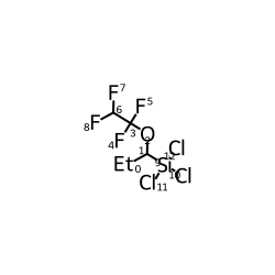 CCC(OC(F)(F)C(F)F)[Si](Cl)(Cl)Cl